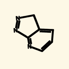 c1cnc2c(c1)CN=N2